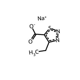 CCc1nnsc1C(=O)[O-].[Na+]